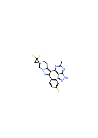 Cc1nc(-c2c(-c3ccc(F)cc3)nn3c2CC[C@]2(C3)CC2(F)F)c2cn[nH]c2n1